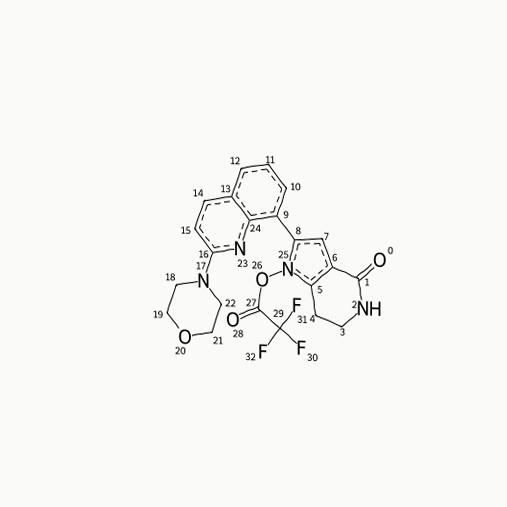 O=C1NCCc2c1cc(-c1cccc3ccc(N4CCOCC4)nc13)n2OC(=O)C(F)(F)F